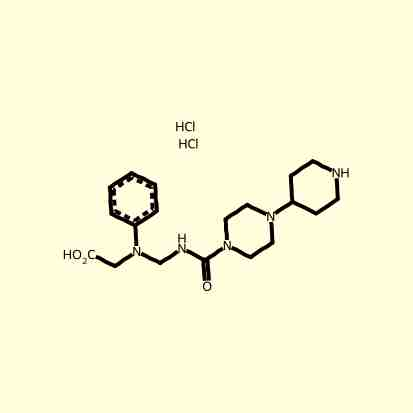 Cl.Cl.O=C(O)CN(CNC(=O)N1CCN(C2CCNCC2)CC1)c1ccccc1